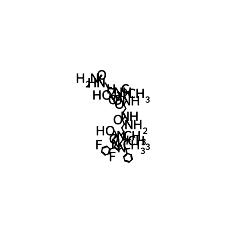 CC(C)C(NC(=O)CCNC(=O)[C@@H](N)CCN(C(=O)CO)[C@@H](c1nc(-c2cc(F)ccc2F)cn1Cc1ccccc1)C(C)(C)C)C(=O)N[C@@H](CCCNC(N)=O)C(=O)O